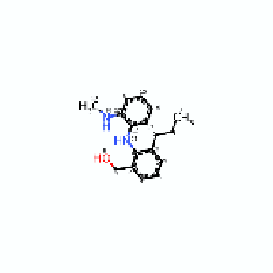 CCCc1cccc(CO)c1Nc1ccccc1NC